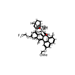 COCOc1cc(-c2c(C#N)cc3c(N4C[C@@H]5CC[C@@](C(C)(C)C)(C4)N5C(=O)O)nc(OCC(F)(F)F)nc3c2F)c2c(C#C[Si](C(C)C)(C(C)C)C(C)C)c(F)ccc2c1